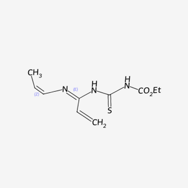 C=C/C(=N\C=C/C)NC(=S)NC(=O)OCC